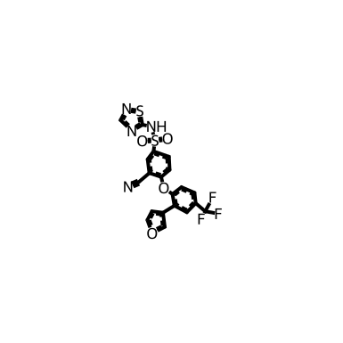 N#Cc1cc(S(=O)(=O)Nc2ncns2)ccc1Oc1ccc(C(F)(F)F)cc1-c1ccoc1